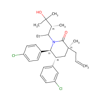 C=CC[C@@]1(C)C[C@H](c2cccc(Cl)c2)[C@@H](c2ccc(Cl)cc2)N(C(CC)[C@@H](C)C(C)(C)O)C1=O